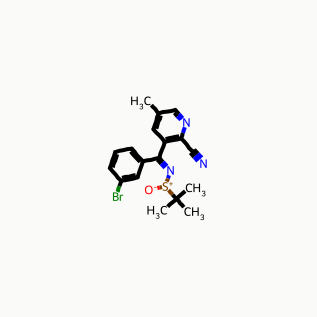 Cc1cnc(C#N)c(C(=N[S+]([O-])C(C)(C)C)c2cccc(Br)c2)c1